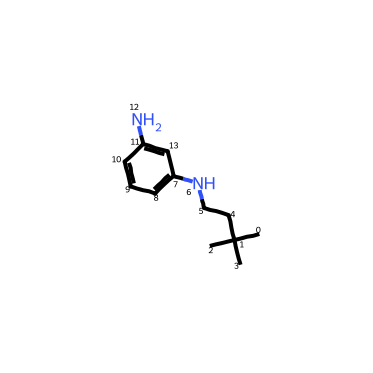 CC(C)(C)CCNc1cccc(N)c1